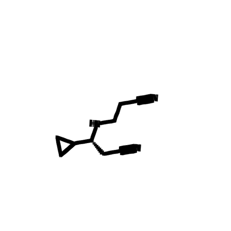 N#CCCN[C@H](CC#N)C1CC1